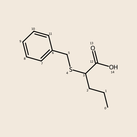 CCCC(SCc1ccccc1)C(=O)O